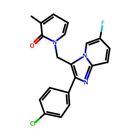 Cc1cccn(Cc2c(-c3ccc(Cl)cc3)nc3ccc(F)cn23)c1=O